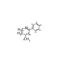 CN=C(SC(C)C)c1c[c]ccc1